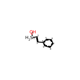 O[SiH2]C=Cc1ccccc1